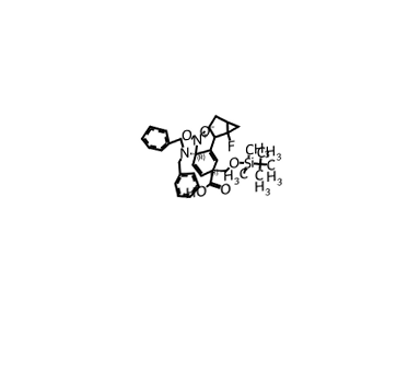 CC(C)(C)[Si](C)(C)OC[C@@]1(C(=O)O)C=C[C@@](N(Cc2ccccc2)Cc2ccccc2)([N+](=O)[O-])C(C2CCC3CC32F)=C1